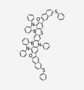 c1ccc(Sc2ccc3cc4oc5c6c7c(cc5c4cc3c2)Sc2cc3c(cc2B7c2ccccc2N6c2ccccc2)B2c4ccccc4N(c4ccccc4)c4c2c(cc2c4oc4cc5ccc(Sc6ccccc6)cc5cc42)N3c2ccccc2)cc1